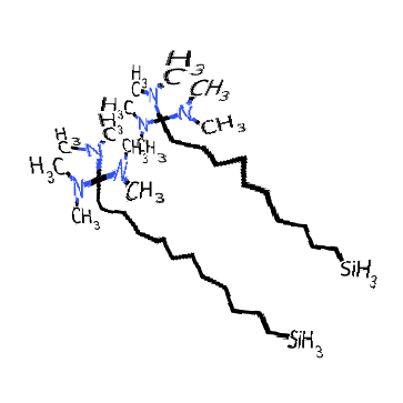 CN(C)C(CCCCCCCCCCC[SiH3])(N(C)C)N(C)C.CN(C)C(CCCCCCCCCC[SiH3])(N(C)C)N(C)C